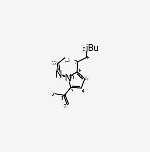 C=C(C)c1ccc(CCC(C)CC)n1/N=C\C